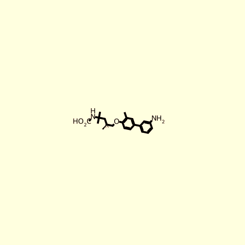 Cc1cc(-c2cccc(N)c2)ccc1OC[C@@H](C)CC(C)(C)NC(=O)O